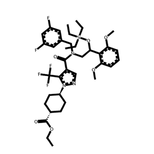 CCOC(=O)[C@H]1CC[C@H](n2ncc(C(=O)N(Cc3cc(F)cc(F)c3)CC(O[Si](CC)(CC)CC)c3c(OC)cccc3OC)c2C(F)(F)F)CC1